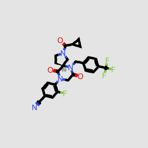 N#Cc1ccc(N2CC(=O)N(Cc3ccc(C(F)(F)F)cc3)[C@]3(CCN(C(=O)C4CC4)C3)C2=O)c(F)c1